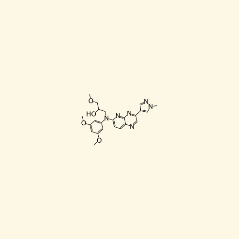 COCC(O)CN(c1cc(OC)cc(OC)c1)c1ccc2ncc(-c3cnn(C)c3)nc2n1